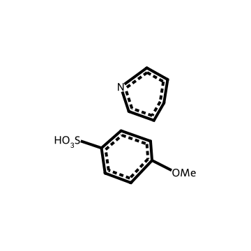 COc1ccc(S(=O)(=O)O)cc1.c1ccncc1